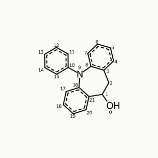 OC1Cc2ccccc2N(c2ccccc2)c2ccccc21